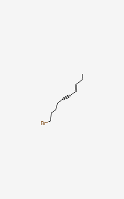 CCC=CC#CCCCCBr